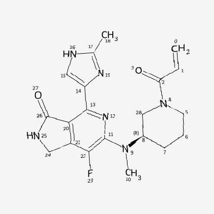 C=CC(=O)N1CCC[C@@H](N(C)c2nc(-c3c[nH]c(C)n3)c3c(c2F)CNC3=O)C1